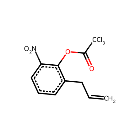 C=CCc1cccc([N+](=O)[O-])c1OC(=O)C(Cl)(Cl)Cl